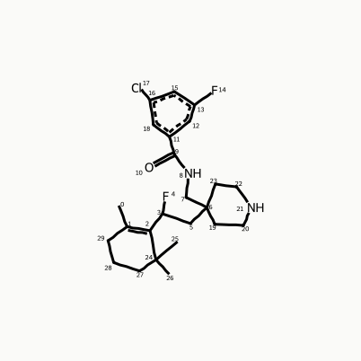 CC1=C(C(F)CC2(CNC(=O)c3cc(F)cc(Cl)c3)CCNCC2)C(C)(C)CCC1